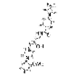 COc1ccccc1N1CCN(C[C@H](O)CCNC(=O)C2CCC(N3CC(F)(F)C3)CC2)CC1